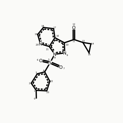 Cc1ccc(S(=O)(=O)n2nc(C(=O)C3CC3)c3cccnc32)cc1